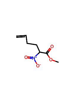 C=CCCC(C(=O)OC)[N+](=O)[O-]